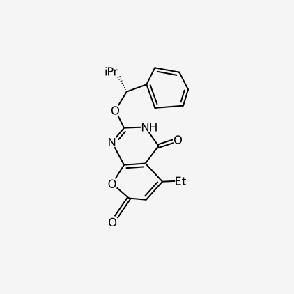 CCc1cc(=O)oc2nc(O[C@@H](c3ccccc3)C(C)C)[nH]c(=O)c12